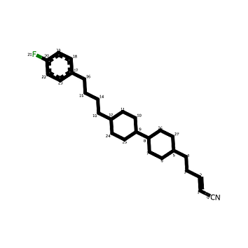 N#CC=CCCC1CCC(C2CCC(CCCCc3ccc(F)cc3)CC2)CC1